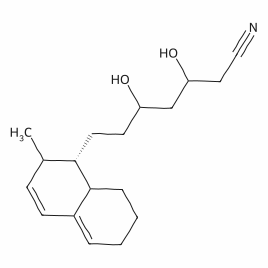 CC1C=CC2=CCCCC2[C@H]1CCC(O)CC(O)CC#N